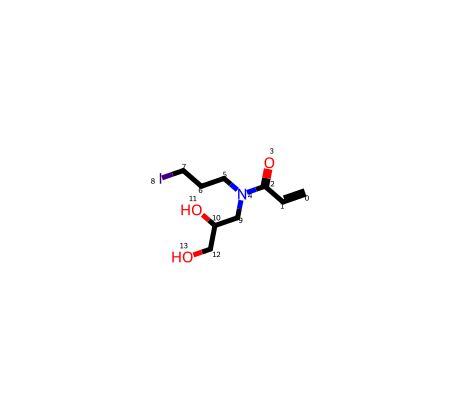 C=CC(=O)N(CCCI)CC(O)CO